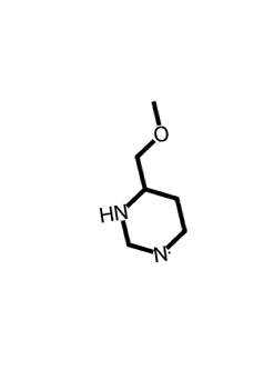 COCC1CC[N]CN1